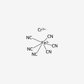 N#[C][Fe-3]([C]#N)([C]#N)([C]#N)([C]#N)[C]#N.[Cr+3]